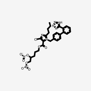 CCCCc1nc(Cl)c(C(=O)OCCCC(CO[N+](=O)[O-])O[N+](=O)[O-])n1Cc1ccc(-c2ccccc2-c2nnn[nH]2)cc1